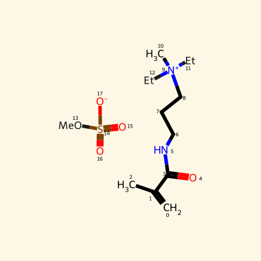 C=C(C)C(=O)NCCC[N+](C)(CC)CC.COS(=O)(=O)[O-]